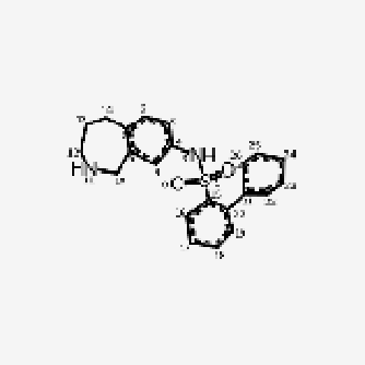 O=S(=O)(Nc1ccc2c(c1)CNCCC2)c1ccccc1-c1ccccc1